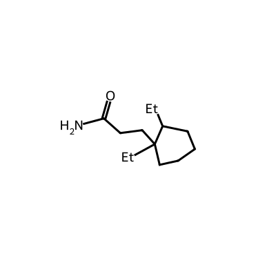 CCC1CCCCC1(CC)CCC(N)=O